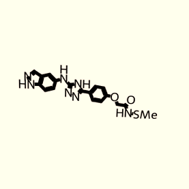 CSNC(=O)COc1ccc(-c2nnc(Nc3ccc4[nH]ncc4c3)[nH]2)cc1